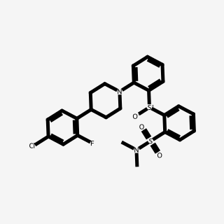 CN(C)S(=O)(=O)c1ccccc1[S+]([O-])c1ccccc1N1CCC(c2ccc(Cl)cc2F)CC1